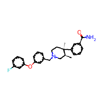 C[C@H]1CN(Cc2cccc(Oc3cccc(F)c3)c2)CC[C@@]1(C)c1cccc(C(N)=O)c1